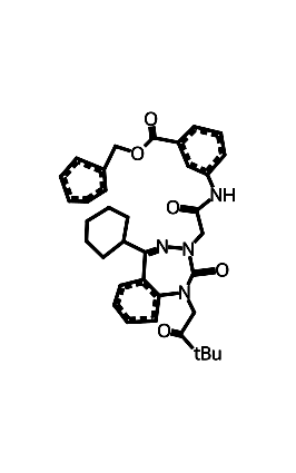 CC(C)(C)C(=O)CN1C(=O)N(CC(=O)Nc2cccc(C(=O)OCc3ccccc3)c2)N=C(C2CCCCC2)c2ccccc21